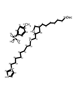 CCCCCCCCCCCCCCCCC1COC(COCCCCCCCC[n+]2ccsc2)C1.Cc1ccc(S(=O)(=O)[O-])cc1